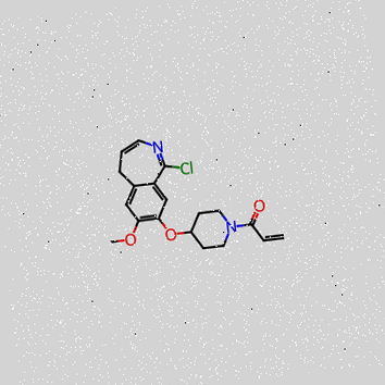 C=CC(=O)N1CCC(Oc2cc3c(cc2OC)CC=CN=C3Cl)CC1